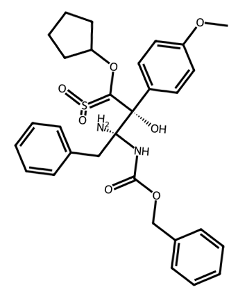 COc1ccc([C@](O)(C(OC2CCCC2)=S(=O)=O)[C@](N)(Cc2ccccc2)NC(=O)OCc2ccccc2)cc1